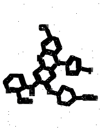 [C-]#[N+]c1ccc2c(c1)nc1cc(Nc3cccnc3OC)/c(=N/C3CCC(OC)CC3)cc-1n2-c1ccc(F)cc1